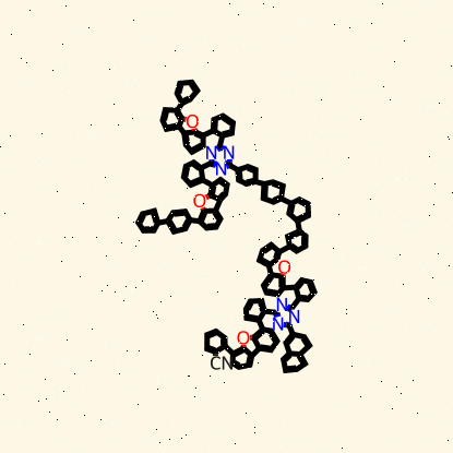 N#Cc1ccccc1-c1cccc2c1oc1c(-c3ccccc3-c3nc(-c4ccc5ccccc5c4)nc(-c4ccccc4-c4cccc5c4oc4c(-c6cccc(-c7cccc(-c8ccc(-c9ccc(-c%10nc(-c%11ccccc%11-c%11cccc%12c%11oc%11c(-c%13ccccc%13)cccc%11%12)nc(-c%11ccccc%11-c%11cccc%12c%11oc%11c(-c%13ccc(-c%14ccccc%14)cc%13)cccc%11%12)n%10)cc9)cc8)c7)c6)cccc45)n3)cccc12